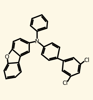 Clc1cc(Cl)cc(-c2ccc(N(c3ccccc3)c3ccc4oc5ccccc5c4c3)cc2)c1